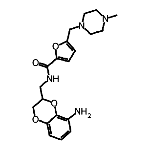 CN1CCN(Cc2ccc(C(=O)NCC3COc4cccc(N)c4O3)o2)CC1